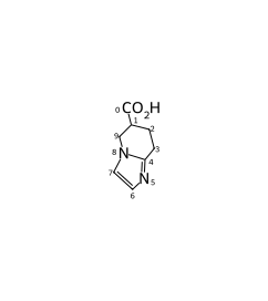 O=C(O)C1CCc2nccn2C1